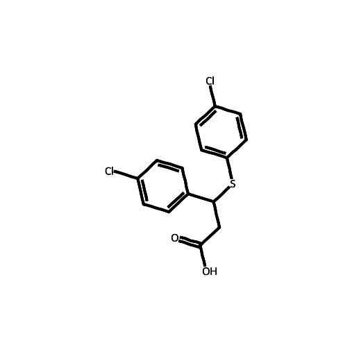 O=C(O)CC(Sc1ccc(Cl)cc1)c1ccc(Cl)cc1